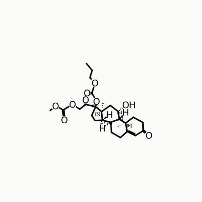 CCCOC(=O)O[C@]1(C(=O)COC(=O)OC)CC[C@H]2[C@@H]3CCC4=CC(=O)CC[C@]4(C)[C@H]3[C@@H](O)C[C@@]21C